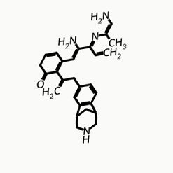 C=CC(=N\C(C)=C/N)/C(N)=C/C1=C(C(=C)Cc2ccc3c(c2)C2CNCC3C2)C(=O)CC=C1